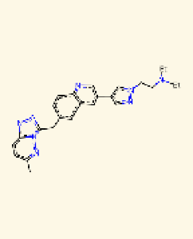 CCN(CC)CCn1cc(-c2cnc3ccc(Cc4nnc5ccc(C)nn45)cc3c2)cn1